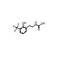 O=C(O)NCCc1cccc(C(F)(F)F)c1O